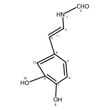 O=CN/C=C/c1ccc(O)c(O)c1